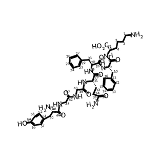 NCCCC[C@H](NC(=O)[C@H](Cc1ccccc1)NC(=O)[C@H](Cc1ccccc1)NC(=O)[C@H](CCC(N)=O)NC(=O)CNC(=O)CNC(=O)[C@@H](N)Cc1ccc(O)cc1)C(=O)O